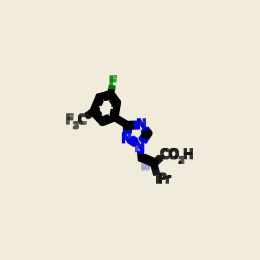 CC(C)/C(=C/n1cnc(-c2cc(F)cc(C(F)(F)F)c2)n1)C(=O)O